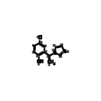 C=C(c1cc(Cl)ccc1O)n1ccnc1